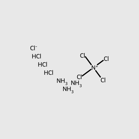 Cl.Cl.Cl.Cl[N+](Cl)(Cl)Cl.N.N.N.[Cl-]